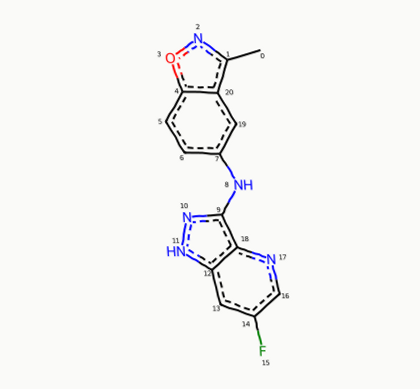 Cc1noc2ccc(Nc3n[nH]c4cc(F)cnc34)cc12